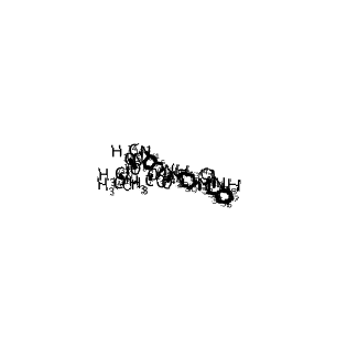 COC(=O)[C@@H](Cc1ccc2c(c1)nc(C)n2S(=O)(=O)CC[Si](C)(C)C)NC(=O)N1CCC(N2Cc3ccccc3NC2=O)CC1